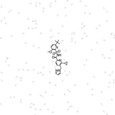 COc1ccc(C(C)(C)C)nc1S(=O)(=O)NC(=O)c1ccc(Cn2cccn2)c(C2CC2)n1